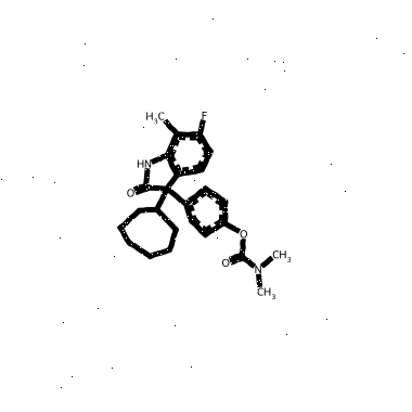 Cc1c(F)ccc2c1NC(=O)C2(c1ccc(OC(=O)N(C)C)cc1)C1CCCCCC1